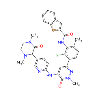 Cc1ccc(-c2cc(Nc3ccc(C4C(=O)N(C)CCN4C)cn3)c(=O)n(C)n2)c(F)c1NC(=O)c1cc2ccccc2s1